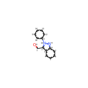 O=Cc1c2ccccc2nn1-c1ccccc1